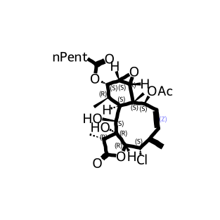 C=C1/C=C\[C@H](OC(C)=O)[C@]2(C)[C@H]([C@@H](C)[C@H](OC(=O)CCCCC)[C@@H]3O[C@@H]32)[C@H](O)[C@]2(O)[C@@H](C)C(=O)O[C@H]2[C@H]1Cl